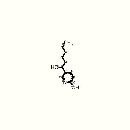 CCCCCC(O)c1ccc(O)nc1